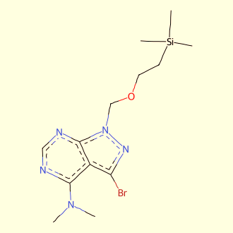 CN(C)c1ncnc2c1c(Br)nn2COCC[Si](C)(C)C